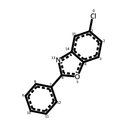 Clc1ccc2oc(-c3c[c]ccc3)nc2c1